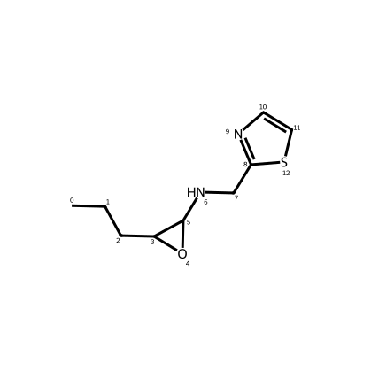 CCCC1OC1NCc1nccs1